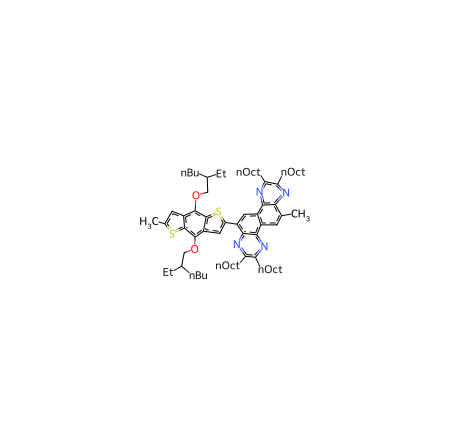 CCCCCCCCc1nc2c(C)cc3c(cc(-c4cc5c(OCC(CC)CCCC)c6sc(C)cc6c(OCC(CC)CCCC)c5s4)c4nc(CCCCCCCC)c(CCCCCCCC)nc43)c2nc1CCCCCCCC